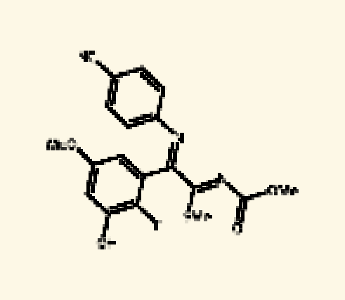 COC(=O)/N=C(SC)/C(=N/c1ccc(C#N)cc1)c1cc(OC)cc(O)c1F